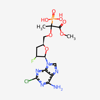 COC(=O)C(C)(OC[C@@H]1C[C@H](F)[C@H](n2cnc3c(N)nc(Cl)nc32)O1)P(=O)(O)O